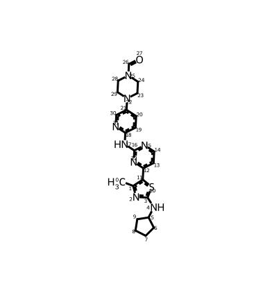 Cc1nc(NC2CCCC2)sc1-c1ccnc(Nc2ccc(N3CCN(C=O)CC3)cn2)n1